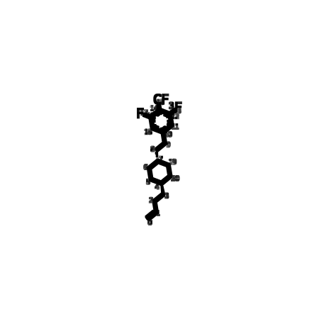 C=CCC[C@H]1CC[C@H](CCc2cc(F)c(C(F)(F)F)c(F)c2)CC1